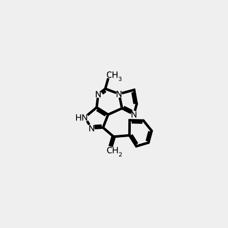 C=C(c1ccccc1)c1n[nH]c2nc(C)n3ccnc3c12